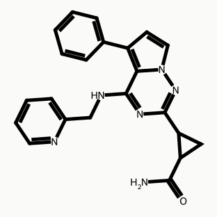 NC(=O)C1CC1c1nc(NCc2ccccn2)c2c(-c3ccccc3)ccn2n1